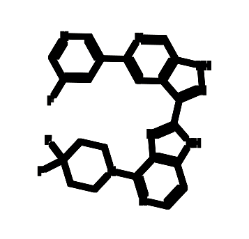 Fc1cncc(-c2cc3c(-c4nc5c(N6CCC(F)(F)CC6)nccc5[nH]4)n[nH]c3cn2)c1